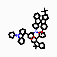 CC(C)(C)c1ccc2c(c1)C1(c3ccccc3-c3ccc(N(c4cccc(-c5cccc6c5c5ccccc5n6-c5ccccc5)c4)c4ccccc4-c4cccc5c4-c4ccccc4C5(C)C)cc31)c1cc(C(C)(C)C)ccc1-2